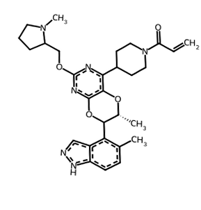 C=CC(=O)N1CCC(c2nc(OCC3CCCN3C)nc3c2O[C@H](C)C(c2c(C)ccc4[nH]ncc24)O3)CC1